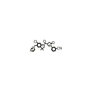 CC1(C)CN(C(=O)C2CC(=O)N(c3cccc(C#N)c3)C2)c2cc(Cl)c(Cn3ccnc3)cc21